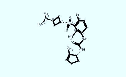 CC1=CCC[C@H]1NC(=O)Nc1ccc(Cl)c(S(=O)(=O)[C@H]2C[C@H](N(C)C)C2)c1O